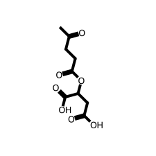 CC(=O)CCC(=O)OC(CC(=O)O)C(=O)O